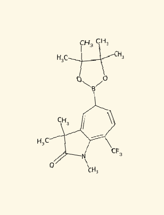 CN1C(=O)C(C)(C)C2=CC(B3OC(C)(C)C(C)(C)O3)C=CC(C(F)(F)F)=C21